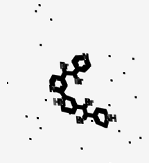 BrC(C1=CCNC=C1)C(Br)C1=CC(c2cc(C(Br)C(Br)c3ccncc3)ccn2)NC=C1